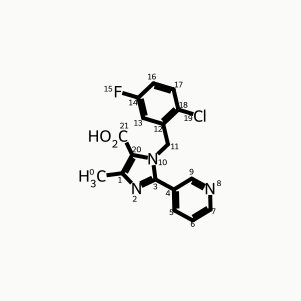 Cc1nc(-c2cccnc2)n(Cc2cc(F)ccc2Cl)c1C(=O)O